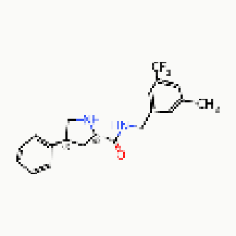 Cc1cc(CNC(=O)[C@@H]2C[C@@H](c3ccccc3)CN2)cc(C(F)(F)F)c1